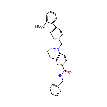 O=C(NCC1=CCCC=N1)c1ccc2c(c1)CCCN2Cc1ccc(-c2ccccc2C(=O)O)cc1